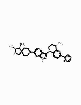 C[C@@H]1OCC2(CCN(c3cnc4c(N5CC[C@H](C)c6nc(-c7nnc[nH]7)ccc65)n[nH]c4n3)CC2)[C@@H]1N